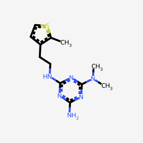 Cc1sccc1CCNc1nc(N)nc(N(C)C)n1